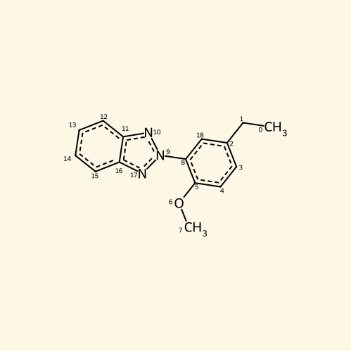 CCc1ccc(OC)c(-n2nc3ccccc3n2)c1